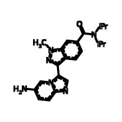 CC(C)N(C(=O)c1ccc2c(-c3cnc4ccc(N)cn34)nn(C)c2c1)C(C)C